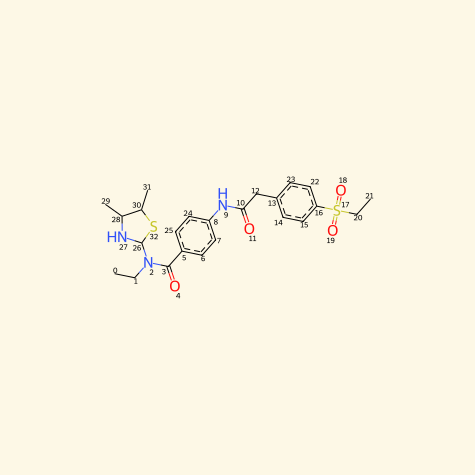 CCN(C(=O)c1ccc(NC(=O)Cc2ccc(S(=O)(=O)CC)cc2)cc1)C1NC(C)C(C)S1